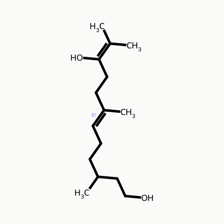 CC(C)=C(O)CC/C(C)=C/CCC(C)CCO